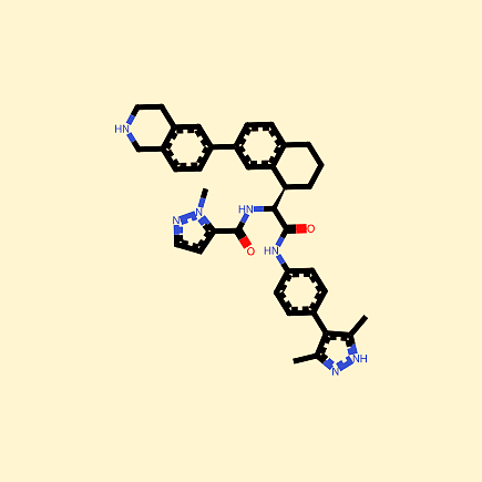 Cc1n[nH]c(C)c1-c1ccc(NC(=O)C(NC(=O)c2ccnn2C)[C@@H]2CCCc3ccc(-c4ccc5c(c4)CCNC5)cc32)cc1